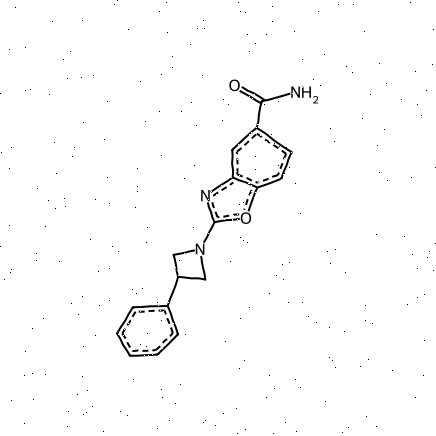 NC(=O)c1ccc2oc(N3CC(c4ccccc4)C3)nc2c1